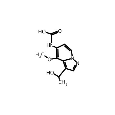 COc1c(NC(=O)O)ccn2ncc(C(C)O)c12